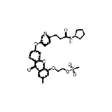 Cc1cc(OCCOS(C)(=O)=O)c2oc3cc(Oc4ccc(CCC(=O)NC5CCCC5)nc4)ccc3c(=O)c2c1